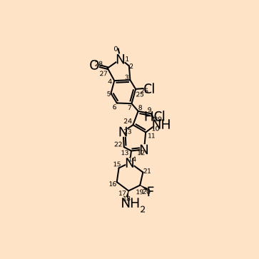 CN1Cc2c(ccc(-c3c[nH]c4nc(N5CC[C@H](N)[C@H](F)C5)cnc34)c2Cl)C1=O.Cl